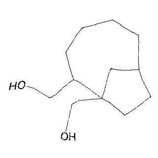 OCC1CCCCC2CCC1(CO)C2